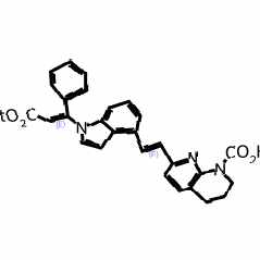 CCOC(=O)/C=C(\c1ccccc1)n1ccc2c(/C=C/c3ccc4c(n3)N(C(=O)O)CCC4)cccc21